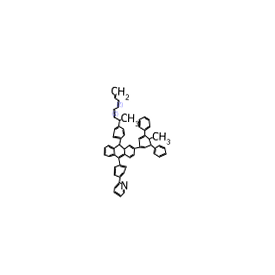 C=C/C=C\C=C/C(C)c1ccc(C2c3ccccc3C(c3ccc(-c4ccccn4)cc3)=C3C=CC(C4=CC(c5ccccc5)C(C)C(c5ccccc5)=C4)=CC32)cc1